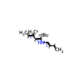 C=C/C=C/N/C(=C/C(C)=C/C)C(C)(C)C